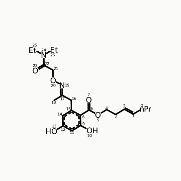 CCC/C=C/CCOC(=O)c1c(O)cc(O)cc1C/C(C)=N/OCC(=O)N(CC)CC